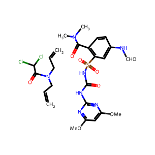 C=CCN(CC=C)C(=O)C(Cl)Cl.COc1cc(OC)nc(NC(=O)NS(=O)(=O)c2cc(NC=O)ccc2C(=O)N(C)C)n1